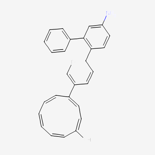 CC/C=C(\C=C/Cc1ccc(N)cc1-c1ccccc1)c1ccccccc(C)cc1